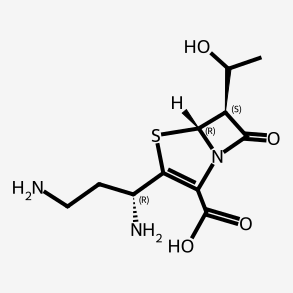 CC(O)[C@H]1C(=O)N2C(C(=O)O)=C([C@H](N)CCN)S[C@H]12